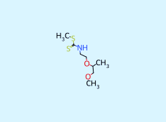 COCC(C)OCCNC(=S)SC